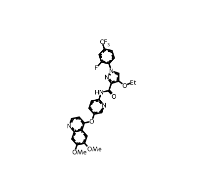 CCOc1cn(-c2ccc(C(F)(F)F)cc2F)nc1C(=O)Nc1ccc(Oc2ccnc3cc(OC)c(OC)cc23)cn1